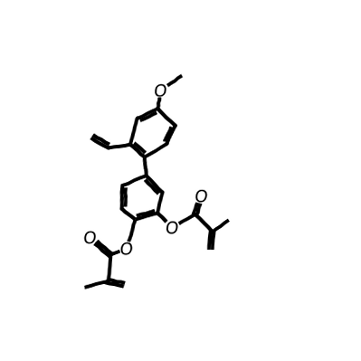 C=Cc1cc(OC)ccc1-c1ccc(OC(=O)C(=C)C)c(OC(=O)C(=C)C)c1